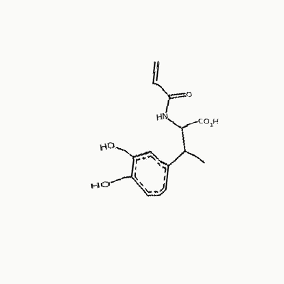 C=CC(=O)NC(C(=O)O)C(C)c1ccc(O)c(O)c1